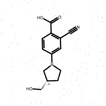 N#Cc1cc(N2CC[C@H](CO)C2)ccc1C(=O)O